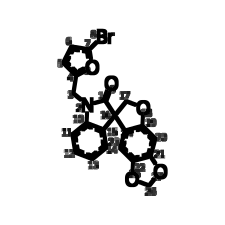 O=C1N(Cc2ccc(Br)o2)c2ccccc2C12COc1cc3c(cc12)OCO3